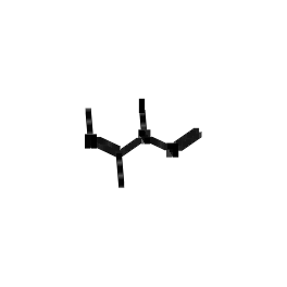 C=NN(I)/C(C)=N\C